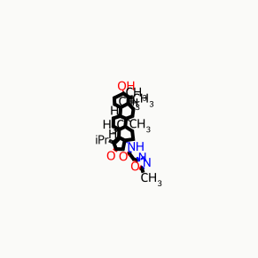 Cc1nnc(C(=O)N[C@@]23CC[C@]4(C)[C@H](CC[C@@H]5[C@@]6(C)CC[C@H](O)C(C)(C)[C@@H]6CC[C@]54C)C2=C(C(C)C)C(=O)C3)o1